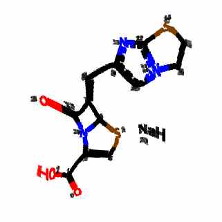 O=C(O)C1=CSC2/C(=C\c3cn4c(n3)SCC4)C(=O)N12.[NaH]